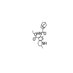 CCOC(=O)c1c(NC(=O)C23CC4CC(CC2C4)C3)sc2c1CCC(C)N2